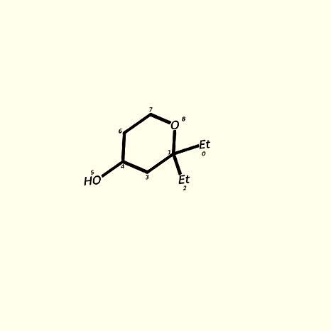 CCC1(CC)CC(O)CCO1